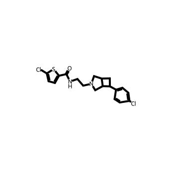 O=C(NCCN1CC2CC(c3ccc(Cl)cc3)C2C1)c1ccc(Cl)s1